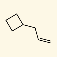 C=CCC1CCC1